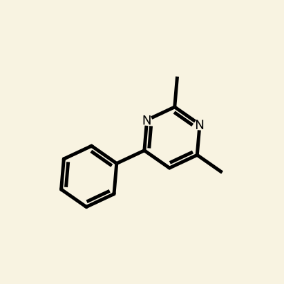 Cc1cc(-c2ccccc2)nc(C)n1